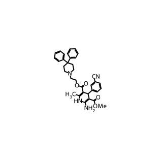 COC(=O)C1=C(N)NC(C)=C(C(=O)OCCN2CCC(c3ccccc3)(c3ccccc3)CC2)C1c1cccc(C#N)c1